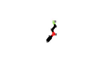 [C]#COCCF